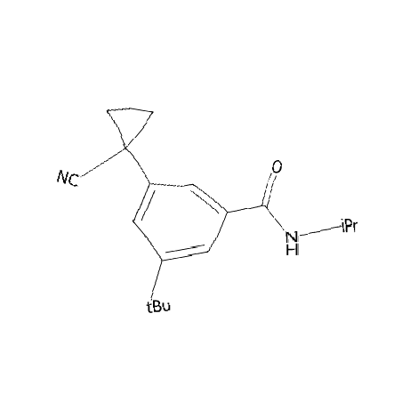 CC(C)NC(=O)c1cc(C(C)(C)C)cc(C2(C#N)CC2)c1